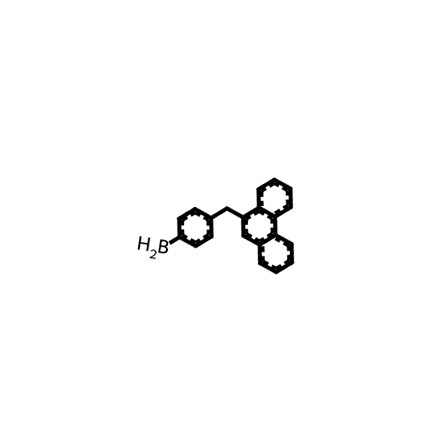 Bc1ccc(Cc2cc3ccccc3c3ccccc23)cc1